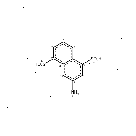 Nc1cc(S(=O)(=O)O)c2c[c]cc(S(=O)(=O)O)c2c1